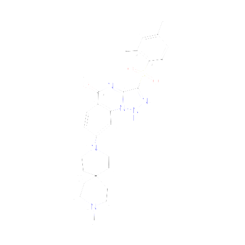 Cc1ccc(S(=O)(=O)c2n[nH]n3c2nc(=O)c2ccc(N4CCC5(CCN(C)CC5)CC4)cc23)c(C)c1